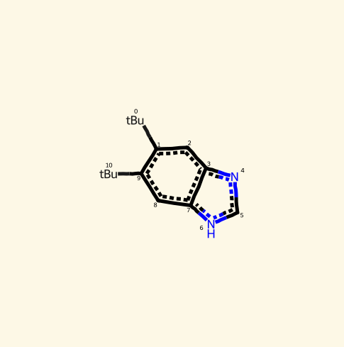 CC(C)(C)c1cc2nc[nH]c2cc1C(C)(C)C